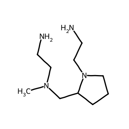 CN(CCN)CC1CCCN1CCN